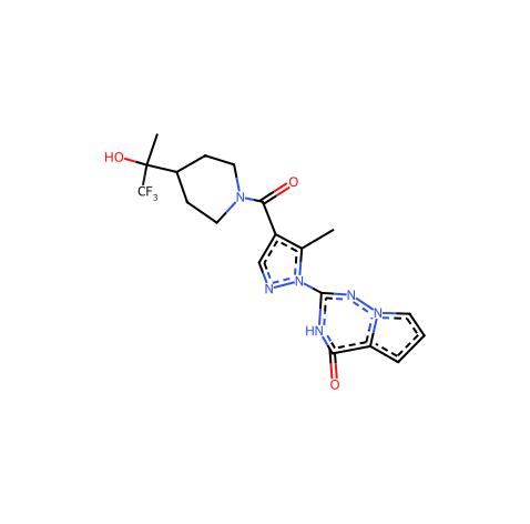 Cc1c(C(=O)N2CCC(C(C)(O)C(F)(F)F)CC2)cnn1-c1nn2cccc2c(=O)[nH]1